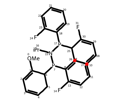 COC1=CC=CCC1P(c1ccccc1F)N(C(C)C)P(c1ccccc1F)C1CC=CC=C1F